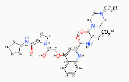 CCOC(=O)N1CCN(C(=O)C(CC(=O)O)NC(=O)c2cc(OCC(=O)N3CCC3C(=O)NC3CCCC3)c3ccccc3n2)CC1